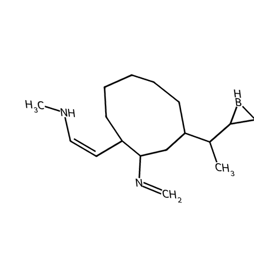 C=NC1CC(C(C)C2BC2)CCCCCC1/C=C\NC